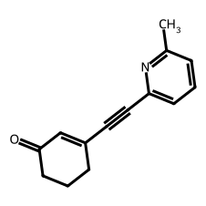 Cc1cccc(C#CC2=CC(=O)CCC2)n1